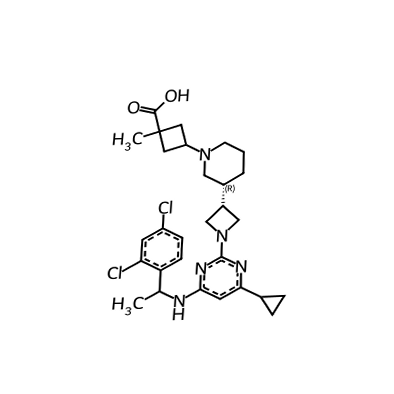 CC(Nc1cc(C2CC2)nc(N2CC([C@H]3CCCN(C4CC(C)(C(=O)O)C4)C3)C2)n1)c1ccc(Cl)cc1Cl